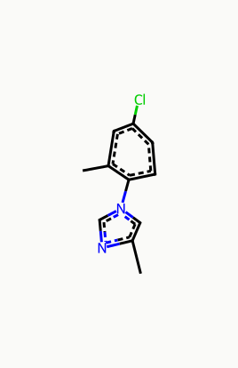 Cc1cn(-c2ccc(Cl)cc2C)cn1